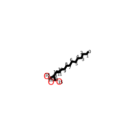 CCCCCCCCCCC/C=C/C1C(=O)OC1=O